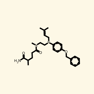 CC(C)=CCN(CCN(C)C(=O)[CH]CC(C)C(N)=O)c1ccc(OCc2ccccc2)cc1